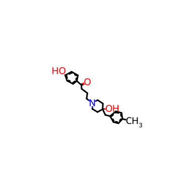 Cc1ccc(CC2(O)CCN(CCCC(=O)c3ccc(O)cc3)CC2)cc1